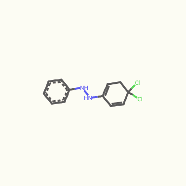 ClC1(Cl)C=CC(NNc2ccccc2)=CC1